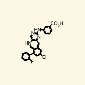 O=C(O)c1cccc(Nc2ncc3c(n2)C=c2cc(Cl)cc(-c4ccccc4F)c2=CN3)c1